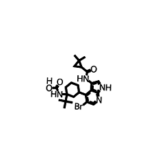 CC1(C)CC1C(=O)Nc1c[nH]c2ncc(Br)c(C3CCCC(NC(=O)O)(C(C)(C)C)C3)c12